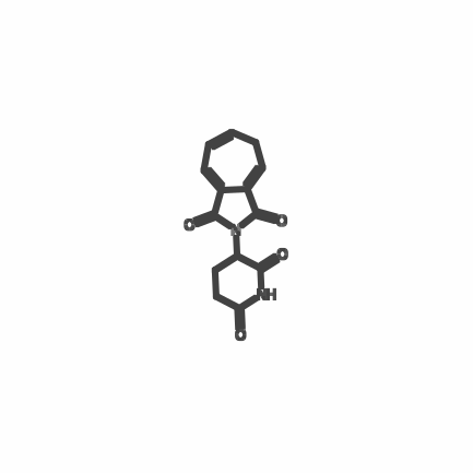 O=C1CCC(N2C(=O)C3=CC=CCC=C3C2=O)C(=O)N1